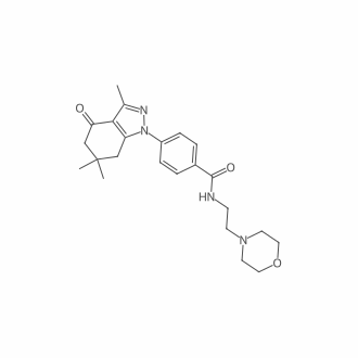 Cc1nn(-c2ccc(C(=O)NCCN3CCOCC3)cc2)c2c1C(=O)CC(C)(C)C2